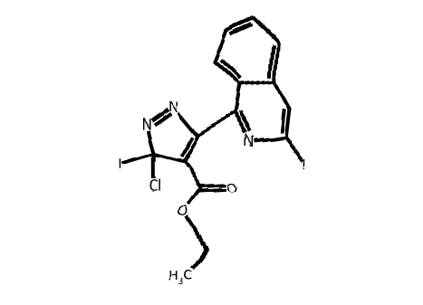 CCOC(=O)C1=C(c2nc(I)cc3ccccc23)N=NC1(Cl)I